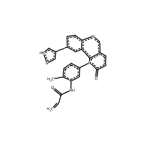 C=CC(=O)Nc1cc(-n2c(=O)ccc3cnc4ccc(-c5cn[nH]c5)cc4c32)ccc1C